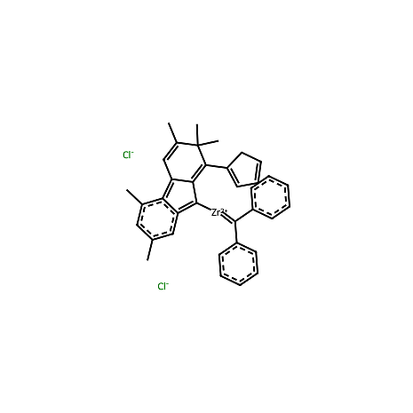 CC1=CC2=c3c(C)cc(C)cc3=[C]([Zr+2]=[C](c3ccccc3)c3ccccc3)C2=C(C2=CC=CC2)C1(C)C.[Cl-].[Cl-]